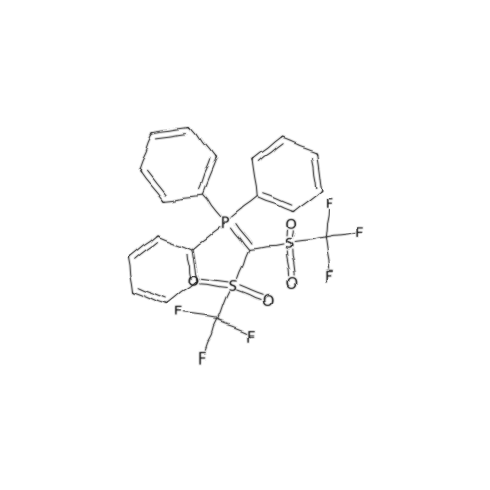 O=S(=O)(C(=P(c1ccccc1)(c1ccccc1)c1ccccc1)S(=O)(=O)C(F)(F)F)C(F)(F)F